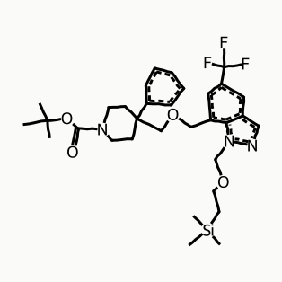 CC(C)(C)OC(=O)N1CCC(COCc2cc(C(F)(F)F)cc3cnn(COCC[Si](C)(C)C)c23)(c2ccccc2)CC1